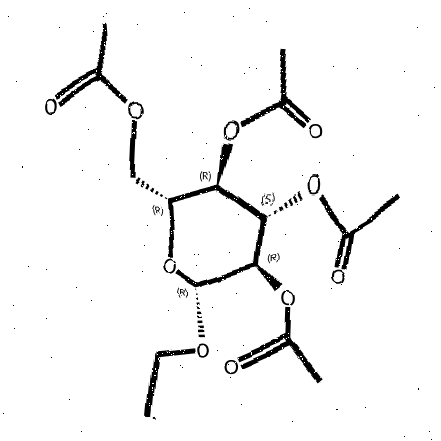 [CH2]CO[C@@H]1O[C@H](COC(C)=O)[C@@H](OC(C)=O)[C@H](OC(C)=O)[C@H]1OC(C)=O